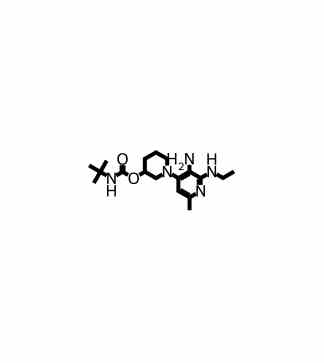 CCNc1nc(C)cc(N2CCCC(OC(=O)NC(C)(C)C)C2)c1N